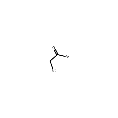 CC[CH]C(=O)Br